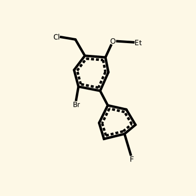 CCOc1cc(-c2ccc(F)cc2)c(Br)cc1CCl